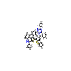 c1ccc(-c2nc(-c3ccccc3)nc(-c3cccc(-c4c(-c5cccc6c5sc5ccccc56)sc5c(-c6ccccc6)nc6ccccc6c45)c3)n2)cc1